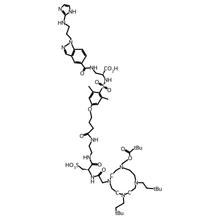 Cc1cc(OCCCC(=O)NCCNC(=O)[C@H](CS(=O)(=O)O)NC(=O)CN2CCN(CCC(C)(C)C)CCN(CCC(C)(C)C)CCN(COC(=O)C(C)(C)C)CC2)cc(C)c1S(=O)(=O)N[C@@H](CNC(=O)c1ccc2c(cnn2CCCNc2ncc[nH]2)c1)C(=O)O